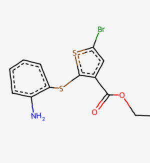 CCOC(=O)c1cc(Br)sc1Sc1ccccc1N